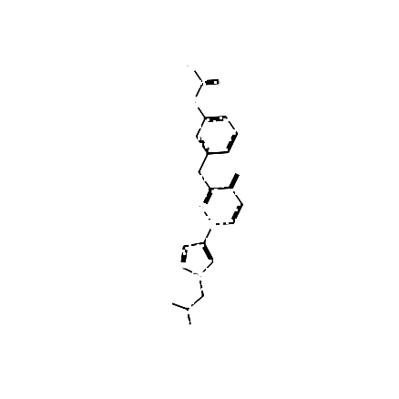 CC(C)Cn1cc(-n2ccc(=O)c(Cc3cccc(NC(=O)O)c3)n2)cn1